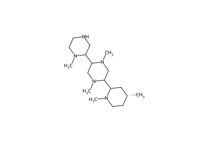 C[C@@H]1CCN(C)C(C2CN(C)C(C3CNCCN3C)CN2C)C1